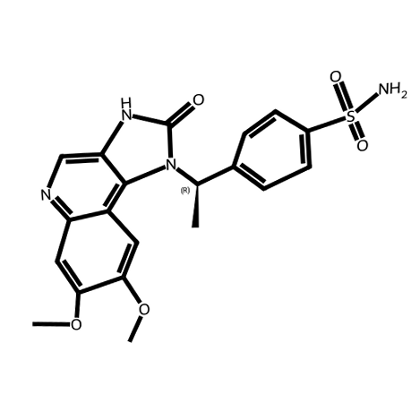 COc1cc2ncc3[nH]c(=O)n([C@H](C)c4ccc(S(N)(=O)=O)cc4)c3c2cc1OC